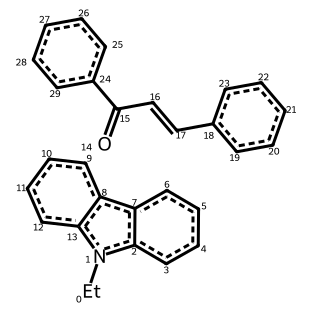 CCn1c2ccccc2c2ccccc21.O=C(C=Cc1ccccc1)c1ccccc1